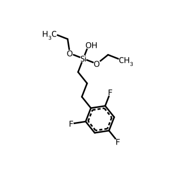 CCO[Si](O)(CCCc1c(F)cc(F)cc1F)OCC